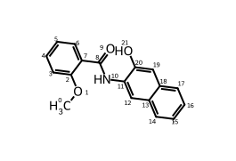 COc1ccccc1C(=O)Nc1cc2c[c]ccc2cc1O